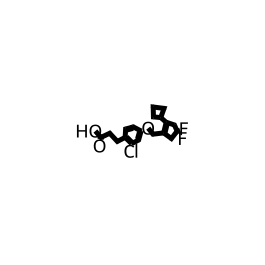 O=C(O)CCc1ccc(OCC2=C(C3CCC3)CC(F)(F)C2)cc1Cl